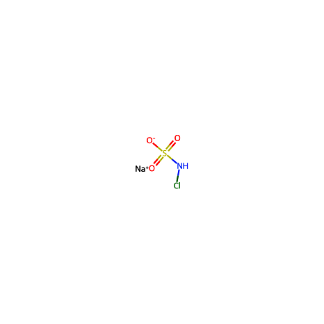 O=S(=O)([O-])NCl.[Na+]